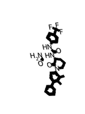 Cc1c(-c2ccccc2)ccc(N2CCCC(NC(=O)Nc3ccc(C(F)(F)F)cc3)C2=O)c1C.NC=O